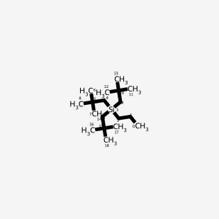 CCC[Si](CC(C)(C)C)(CC(C)(C)C)CC(C)(C)C